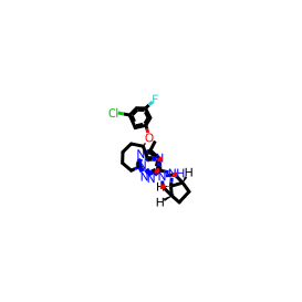 Cc1cc(N2C[C@H]3CC[C@@H](C2)[C@@H]3Nc2nc3n(n2)CCCC[C@@H]3Oc2cc(F)cc(Cl)c2)ncn1